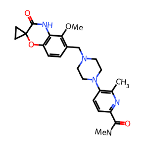 CNC(=O)c1ccc(N2CCN(Cc3ccc4c(c3OC)NC(=O)C3(CC3)O4)CC2)c(C)n1